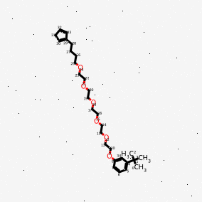 CC(C)(C)c1cccc(OCCOCCOCCOCCOCCOCCCCC2=CCC=C2)c1